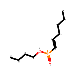 CCCCC=C[PH](=O)OCCCC